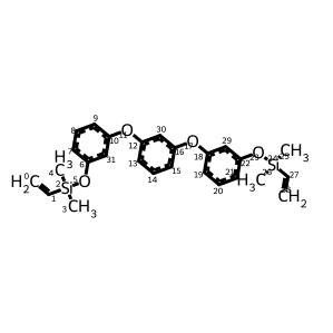 C=C[Si](C)(C)Oc1cccc(Oc2cccc(Oc3cccc(O[Si](C)(C)C=C)c3)c2)c1